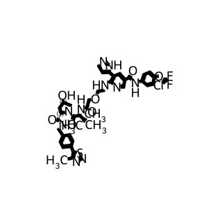 Cc1nnsc1-c1ccc(CNC(=O)[C@@H]2C[C@@H](O)CN2C(=O)C(NC(=O)COCCNc2ncc(C(=O)Nc3ccc(OC(F)(F)Cl)cc3)cc2-c2ccn[nH]2)C(C)(C)C)cc1